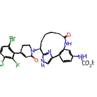 O=C(O)Nc1ccc2c(c1)NC(=O)CCCC[C@H](N1CCC(c3c(Br)ccc(Cl)c3F)=CC1=O)c1nc-2c[nH]1